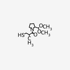 COC(OC)C1CCCN1C(=O)C(C)CS